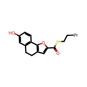 CC(C)CCSC(=O)c1cc2c(o1)-c1ccc(O)cc1CC2